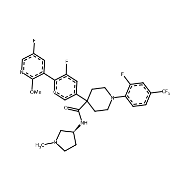 COc1ncc(F)cc1-c1ncc(C2(C(=O)N[C@H]3CCN(C)C3)CCN(c3ccc(C(F)(F)F)cc3F)CC2)cc1F